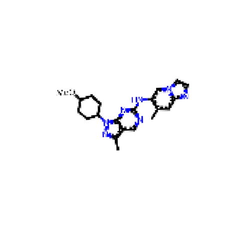 COC1CCC(n2nc(C)c3cnc(Nc4cn5ccnc5cc4C)nc32)CC1